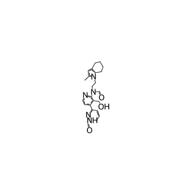 C/C=C\C(=N/NC=O)c1ccnc(N(C=O)CCn2c(C)cc3c2CCCC3)c1CO